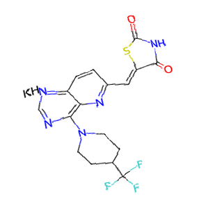 O=C1NC(=O)/C(=C/c2ccc3ncnc(N4CCC(C(F)(F)F)CC4)c3n2)S1.[KH]